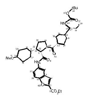 CCOC(=O)c1cc2cc(NC(=O)[C@@H]3[C@H](C4CCC(OC)CC4)CCN3C(=O)[C@H]3CC[C@H]([C@@H](CF)NC(=O)OC(C)(C)C)CC3)ccc2o1